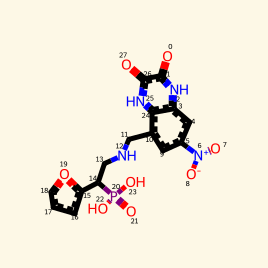 O=c1[nH]c2cc([N+](=O)[O-])cc(CNCC(c3ccco3)P(=O)(O)O)c2[nH]c1=O